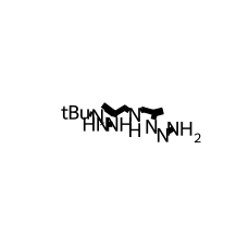 C=C(CNCC1=CN(C(C)(C)C)NN1)/N=N\N